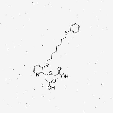 O=C(O)CSC(CC(=O)O)c1ncccc1SCCCCCCCCSc1ccccc1